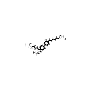 CCCCCCCC1CCC([C@H]2CC[C@](CC)(CCCCCC)CC2)CC1